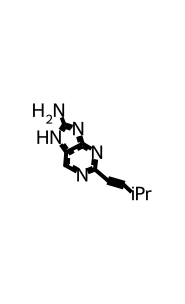 CC(C)C#Cc1ncc2[nH]c(N)nc2n1